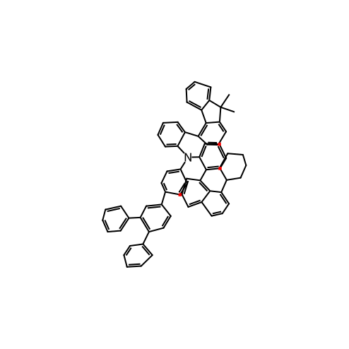 CC1(C)c2ccccc2-c2c(-c3ccccc3N(c3ccc(-c4ccc(-c5ccccc5)c(-c5ccccc5)c4)cc3)c3ccccc3-c3cccc4cccc(C5CCCCC5)c34)cccc21